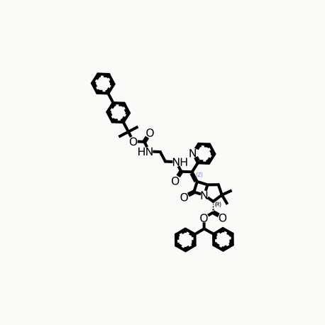 CC(C)(OC(=O)NCCNC(=O)/C(=C1\C(=O)N2C1CC(C)(C)[C@@H]2C(=O)OC(c1ccccc1)c1ccccc1)c1ccccn1)c1ccc(-c2ccccc2)cc1